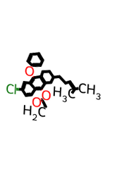 C=CC(=O)Oc1c2c(c(Oc3ccccc3)c3cc(Cl)ccc13)CCC(CCC=C(C)C)C2